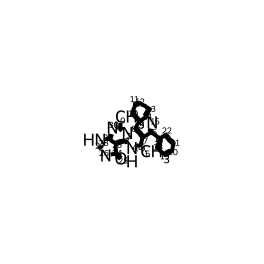 Cc1nc(N[C@@H](C)c2cc3ccccc3nc2-c2ccccc2)c2c(=O)nc[nH]c2n1